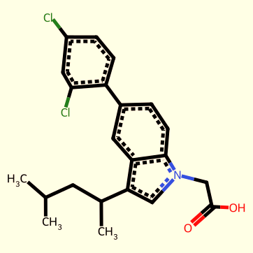 CC(C)CC(C)c1cn(CC(=O)O)c2ccc(-c3ccc(Cl)cc3Cl)cc12